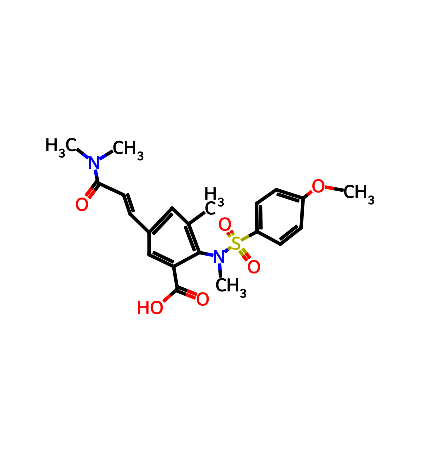 COc1ccc(S(=O)(=O)N(C)c2c(C)cc(C=CC(=O)N(C)C)cc2C(=O)O)cc1